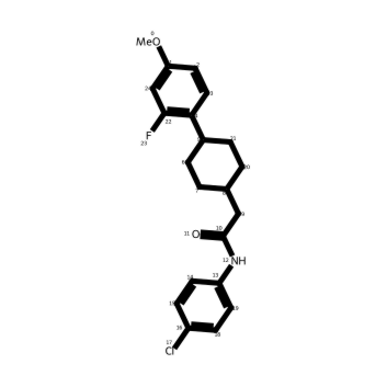 COc1ccc(C2CCC(CC(=O)Nc3ccc(Cl)cc3)CC2)c(F)c1